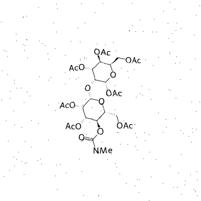 CNC(=O)O[C@H]1[C@H](OC(C)=O)[C@H](OC(C)=O)[C@H](O[C@H]2[C@@H](OC(C)=O)O[C@H](COC(C)=O)[C@H](OC(C)=O)[C@H]2OC(C)=O)O[C@@H]1COC(C)=O